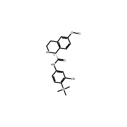 CCOc1ccc2c(c1)CCN[C@H]2C(=O)Nc1ccc([Si](C)(C)C)c(C#N)c1